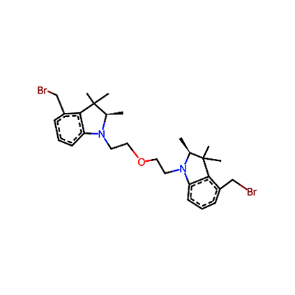 C[C@@H]1N(CCOCCN2c3cccc(CBr)c3C(C)(C)[C@H]2C)c2cccc(CBr)c2C1(C)C